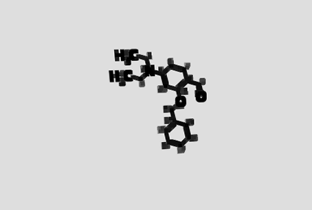 CCN(CC)c1ccc(C=O)c(OCc2ccccc2)c1